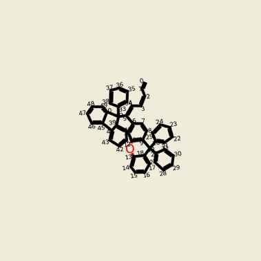 C=C/C=C\C=C(/c1ccc2c(c1)Oc1ccccc1C2(c1ccccc1)c1ccccc1)C1(c2ccccc2)c2ccccc2-c2ccccc21